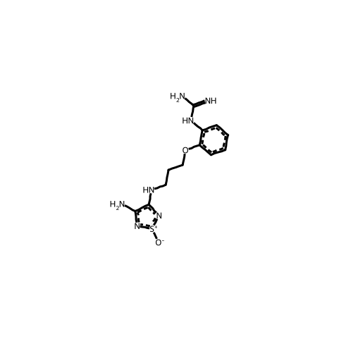 N=C(N)Nc1ccccc1OCCCNc1n[s+]([O-])nc1N